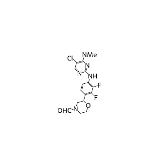 CNc1nc(Nc2ccc(C3CN(C=O)CCO3)c(F)c2F)ncc1Cl